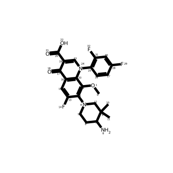 COc1c(N2CCC(N)C(C)(C)C2)c(F)cc2c(=O)c(C(=O)O)cn(-c3ccc(F)cc3F)c12